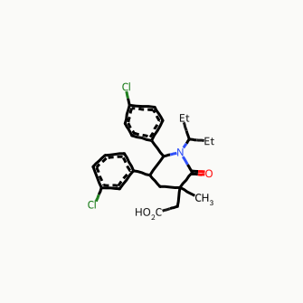 CCC(CC)N1C(=O)C(C)(CC(=O)O)CC(c2cccc(Cl)c2)C1c1ccc(Cl)cc1